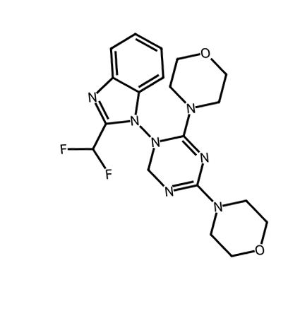 FC(F)c1nc2ccccc2n1N1CN=C(N2CCOCC2)N=C1N1CCOCC1